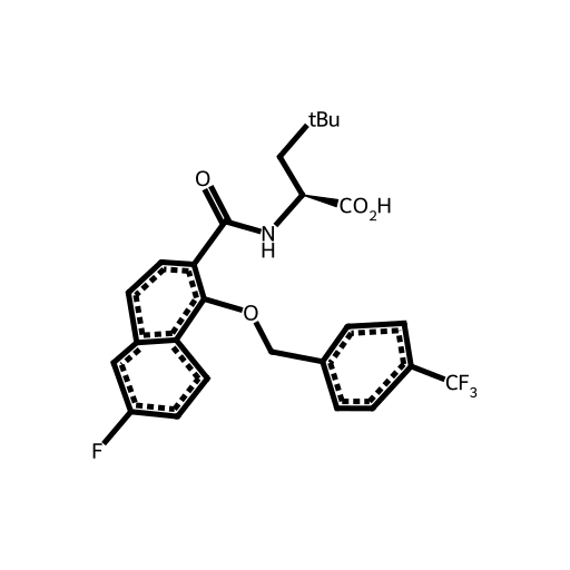 CC(C)(C)C[C@H](NC(=O)c1ccc2cc(F)ccc2c1OCc1ccc(C(F)(F)F)cc1)C(=O)O